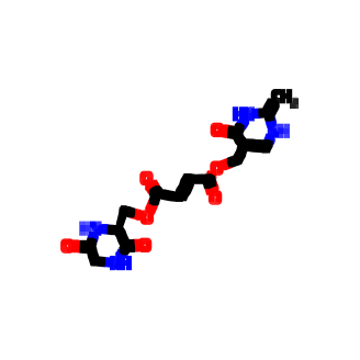 C=C1NC=C(COC(=O)/C=C/C(=O)OC[C@@H]2NC(=O)CNC2=O)C(=O)N1